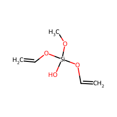 C=CO[Si](O)(OC)OC=C